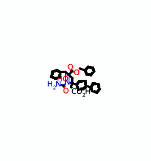 NC(=O)NC(CC(=O)O)(C[C@@](O)(Cc1ccccc1)C(=O)OCc1ccccc1)c1ccc(-c2ccccc2)cc1